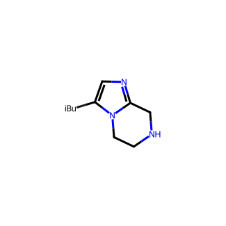 CCC(C)c1cnc2n1CCNC2